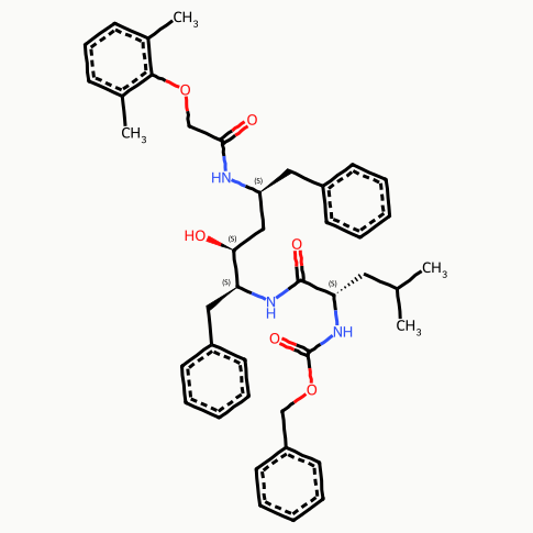 Cc1cccc(C)c1OCC(=O)N[C@@H](Cc1ccccc1)C[C@H](O)[C@H](Cc1ccccc1)NC(=O)[C@H](CC(C)C)NC(=O)OCc1ccccc1